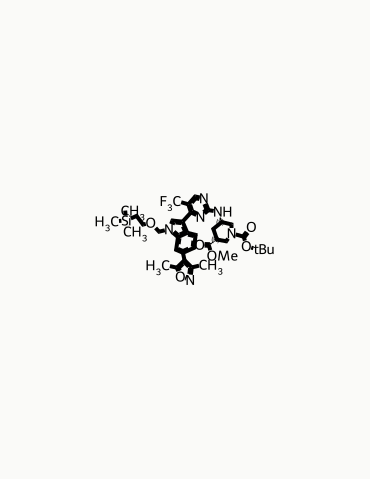 COC(=O)[C@@H]1C[C@H](Nc2ncc(C(F)(F)F)c(-c3cn(COCC[Si](C)(C)C)c4cc(-c5c(C)noc5C)ccc34)n2)CN(C(=O)OC(C)(C)C)C1